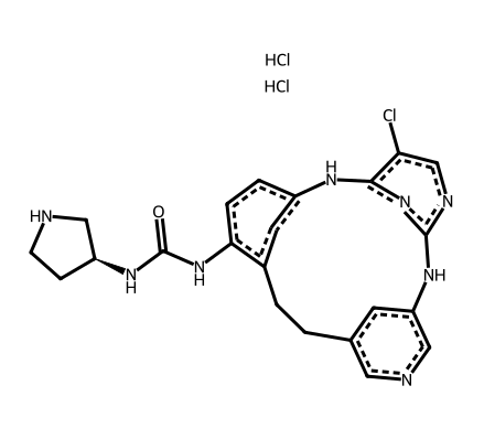 Cl.Cl.O=C(Nc1ccc2cc1CCc1cncc(c1)Nc1ncc(Cl)c(n1)N2)N[C@H]1CCNC1